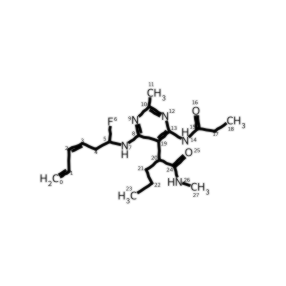 C=C/C=C\CC(F)Nc1nc(C)nc(NC(=O)CC)c1C(CCC)C(=O)NC